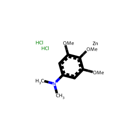 COc1cc(N(C)C)cc(OC)c1OC.Cl.Cl.[Zn]